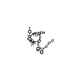 CCOC(=O)[C@H]1Cc2cc(ccc2OCc2ccnc(-c3ccccc3OCCOCCOCCOC)n2)OC[C@@H](CO)Oc2ccc(c(C)c2Cl)-c2c(-c3ccc(F)cc3)sc3ncnc(c23)O1